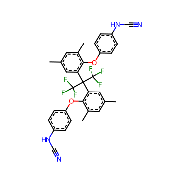 Cc1cc(C)c(Oc2ccc(NC#N)cc2)c(C(c2cc(C)cc(C)c2Oc2ccc(NC#N)cc2)(C(F)(F)F)C(F)(F)F)c1